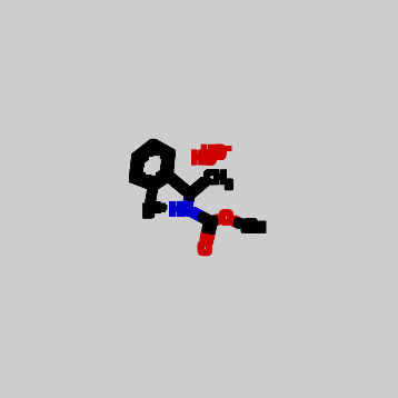 [B+2]c1ccccc1C(C)NC(=O)OC(C)(C)C.[OH-].[OH-]